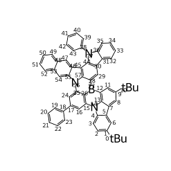 CC(C)(C)c1ccc2c(c1)c1cc(C(C)(C)C)cc3c1n2-c1cc(-c2ccccc2)cc2c1B3c1cc3c4ccccc4n(-c4ccccc4)c3c3c4cc5ccccc5cc4n-2c13